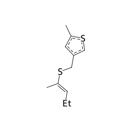 CCC=C(C)SCc1csc(C)c1